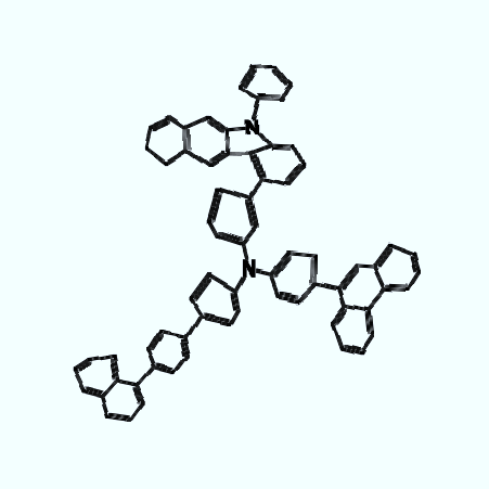 C1=Cc2cc3c(cc2CC1)c1c(-c2cccc(N(c4ccc(-c5ccc(-c6cccc7ccccc67)cc5)cc4)c4ccc(-c5cc6ccccc6c6ccccc56)cc4)c2)cccc1n3-c1ccccc1